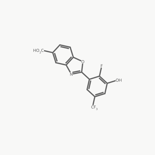 O=C(O)c1ccc2oc(-c3cc(C(F)(F)F)cc(O)c3F)nc2c1